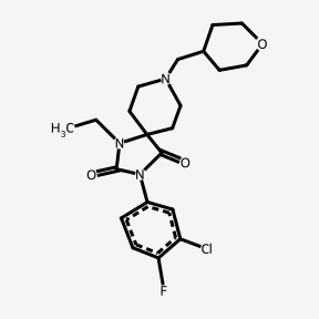 CCN1C(=O)N(c2ccc(F)c(Cl)c2)C(=O)C12CCN(CC1CCOCC1)CC2